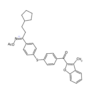 CC(=O)O/N=C(/CCC1CCCC1)c1ccc(Sc2ccc(C(=O)c3oc4ccccc4c3C)cc2)cc1